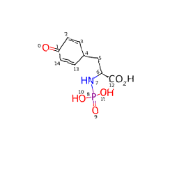 O=C1C=CC(C[C@H](NP(=O)(O)O)C(=O)O)C=C1